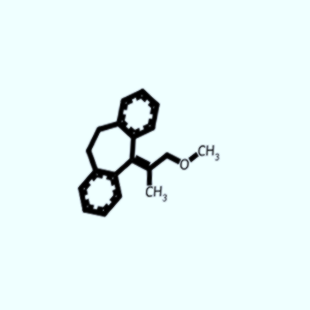 COCC(C)=C1c2ccccc2CCc2ccccc21